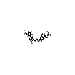 COc1cccc(-c2nc(CCOc3ccc4c(c3)CCC4OC(C)=O)c(C)o2)c1